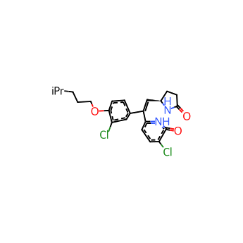 CC(C)CCCOc1ccc(/C(=C/[C@H]2CCC(=O)N2)c2ccc(Cl)c(=O)[nH]2)cc1Cl